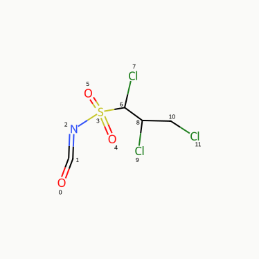 O=C=NS(=O)(=O)C(Cl)C(Cl)CCl